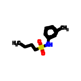 CCCCS(=O)(=O)Nc1cccc(C)c1